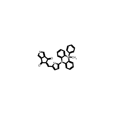 C[Si]1(c2ccccc2)c2ccccc2N(c2ccc(C=C3C(=O)c4cscc4C3=O)[se]2)c2ccccc21